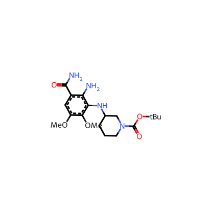 COc1cc(C(N)=O)c(N)c(NC2CCCN(C(=O)OC(C)(C)C)C2)c1OC